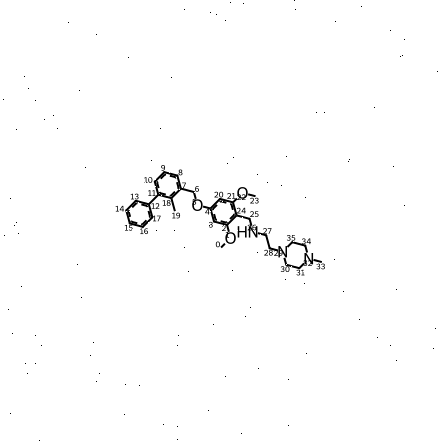 COc1cc(OCc2cccc(-c3ccccc3)c2C)cc(OC)c1CNCCN1CCN(C)CC1